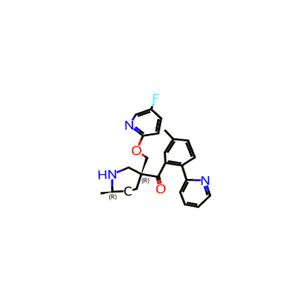 Cc1ccc(-c2ccccn2)c(C(=O)[C@]2(COc3ccc(F)cn3)CC[C@@H](C)NC2)c1